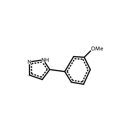 COc1cccc(-c2c[c]n[nH]2)c1